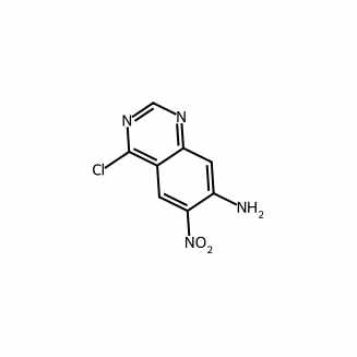 Nc1cc2ncnc(Cl)c2cc1[N+](=O)[O-]